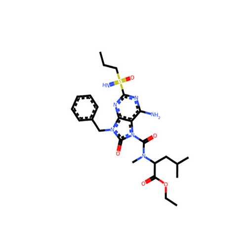 CCCS(=N)(=O)c1nc(N)c2c(n1)n(Cc1ccccc1)c(=O)n2C(=O)N(C)C(CC(C)C)C(=O)OCC